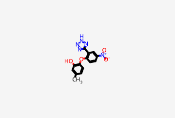 Cc1ccc(Oc2ccc([N+](=O)[O-])cc2-c2nn[nH]n2)c(O)c1